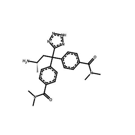 C[C@H](N)CC(c1ccc(C(=O)N(C)C)cc1)(c1ccc(C(=O)N(C)C)cc1)c1nn[nH]n1